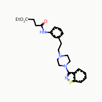 CCOC(=O)CCC(=O)Nc1cccc(CCN2CCN(c3nsc4ccccc34)CC2)c1